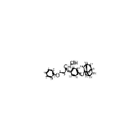 CN(CCOc1ccccc1)c1ccc(OC23CC4CC(CC(C4)C2)C3)cc1.Cl